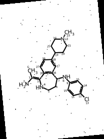 C/C(N)=C1/NCCC(Nc2ccc(Cl)cc2)c2cc(C3CCN(C)CC3)ccc21